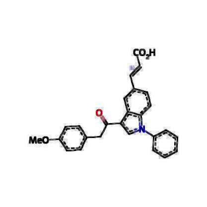 COc1ccc(CC(=O)c2cn(-c3ccccc3)c3ccc(/C=C/C(=O)O)cc23)cc1